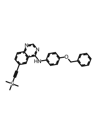 C[Si](C)(C)C#Cc1ccc2ncnc(Nc3ccc(OCc4ccccc4)cc3)c2c1